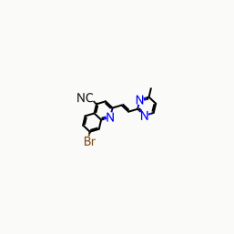 Cc1ccnc(C=Cc2cc(C#N)c3ccc(Br)cc3n2)n1